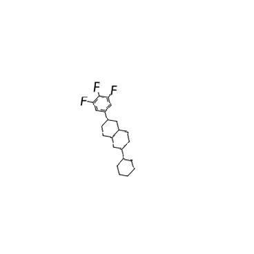 Fc1cc(C2CCC3CC(C4CCCCC4)CCC3C2)cc(F)c1F